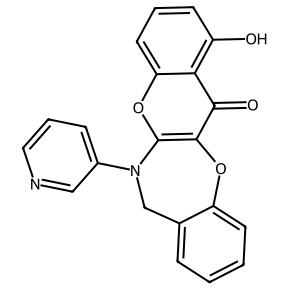 O=c1c2c(oc3cccc(O)c13)N(c1cccnc1)Cc1ccccc1O2